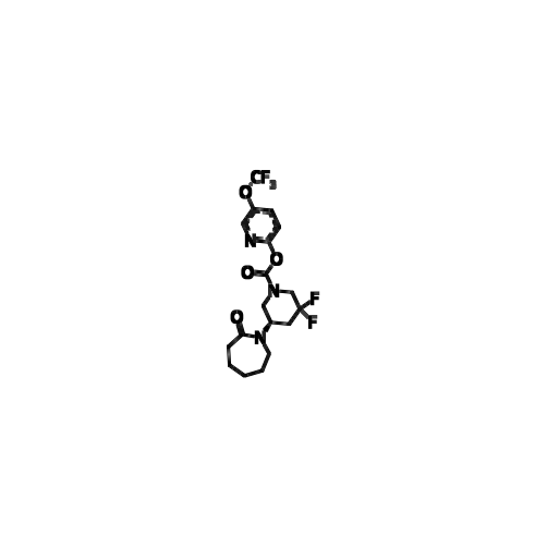 O=C(Oc1ccc(OC(F)(F)F)cn1)N1C[C@H](N2CCCCCC2=O)CC(F)(F)C1